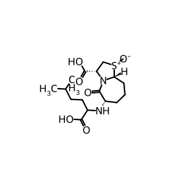 CC(C)CCC(N[C@H]1CCC[C@@H]2N(C1=O)[C@H](C(=O)O)C[S+]2[O-])C(=O)O